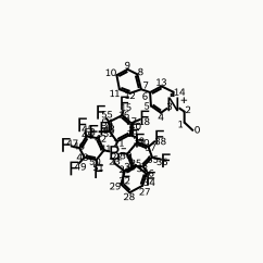 CCC[n+]1ccc(-c2ccccc2)cc1.Fc1c(F)c(F)c([B-](Cc2ccccc2)(c2c(F)c(F)c(F)c(F)c2F)c2c(F)c(F)c(F)c(F)c2F)c(F)c1F